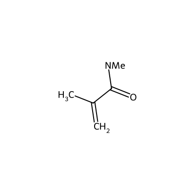 [CH2]NC(=O)C(=C)C